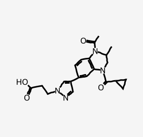 CC(=O)N1c2ccc(-c3cnn(CCC(=O)O)c3)cc2N(C(=O)C2CC2)CC1C